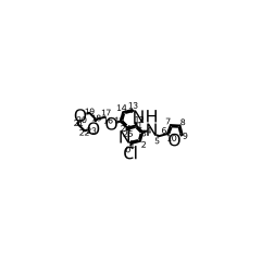 Clc1cc(NCc2ccco2)c2nccc(OCC3COCCO3)c2n1